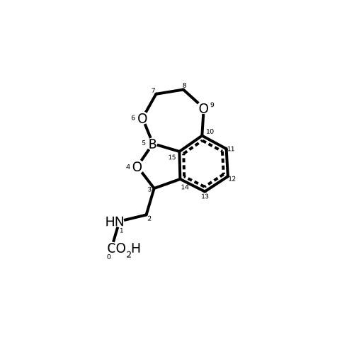 O=C(O)NCC1OB2OCCOc3cccc1c32